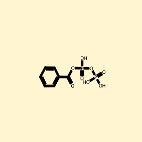 O=C(OP(=O)(O)OP(=O)(O)O)c1ccccc1